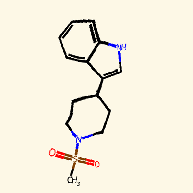 CS(=O)(=O)N1CCC(c2c[nH]c3ccccc23)CC1